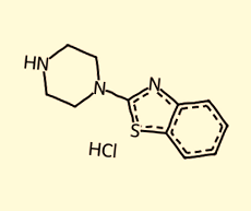 Cl.c1ccc2sc(N3CCNCC3)nc2c1